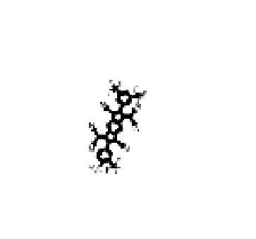 Cc1ccc(C2=C(C#N)c3cc4c(cc3C2=C(C#N)C#N)C(C#N)=C(c2cc(C(F)(F)F)cc(C(F)(F)F)c2)C4=C(C#N)C#N)cc1C(F)(F)F